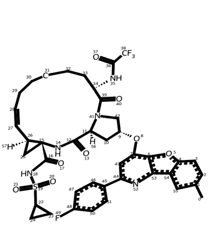 Cc1ccc2oc3c(O[C@@H]4C[C@H]5C(=O)N[C@]6(C(=O)NS(=O)(=O)C7CC7)C[C@H]6/C=C\CCCCC[C@H](NC(=O)C(F)(F)F)C(=O)N5C4)cc(-c4ccc(F)cc4)nc3c2c1